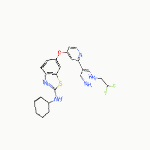 N=C/C(=C\NCC(F)F)c1cc(Oc2ccc3nc(NC4CCCCC4)sc3c2)ccn1